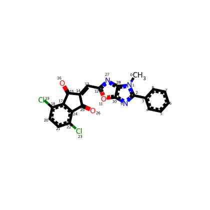 Cn1c(-c2ccccc2)nc2oc(C=C3C(=O)c4c(Cl)ccc(Cl)c4C3=O)nc21